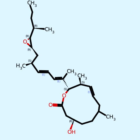 CCC[C@@H](C)[C@H]1O[C@@H]1C[C@H](C)/C=C/C=C(\C)[C@H]1OC(=O)C[C@H](O)CCC(C)C/C=C/[C@@H]1C